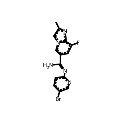 Cc1cn2cc(C(N)=Nc3ccc(Br)cn3)cc(F)c2n1